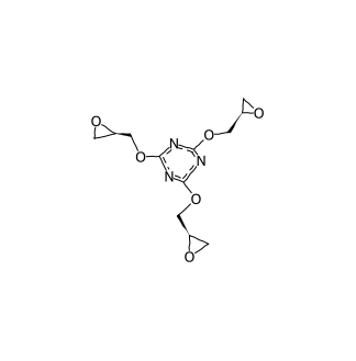 C(Oc1nc(OC[C@H]2CO2)nc(OC[C@H]2CO2)n1)[C@H]1CO1